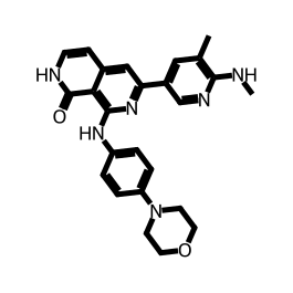 CNc1ncc(-c2cc3cc[nH]c(=O)c3c(Nc3ccc(N4CCOCC4)cc3)n2)cc1C